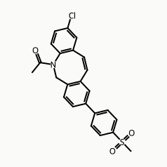 CC(=O)N1Cc2ccc(-c3ccc(S(C)(=O)=O)cc3)cc2/C=C\c2cc(Cl)ccc21